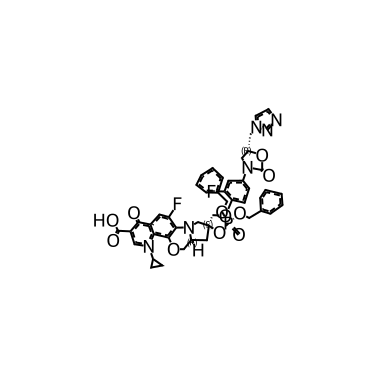 O=C(O)c1cn(C2CC2)c2c3c(c(F)cc2c1=O)N1C[C@@](COc2ccc(N4C[C@H](Cn5ccnn5)OC4=O)cc2F)(OP(=O)(OCc2ccccc2)OCc2ccccc2)C[C@@H]1CO3